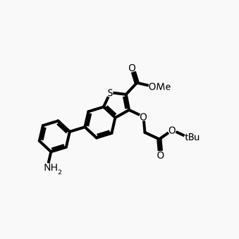 COC(=O)c1sc2cc(-c3cccc(N)c3)ccc2c1OCC(=O)OC(C)(C)C